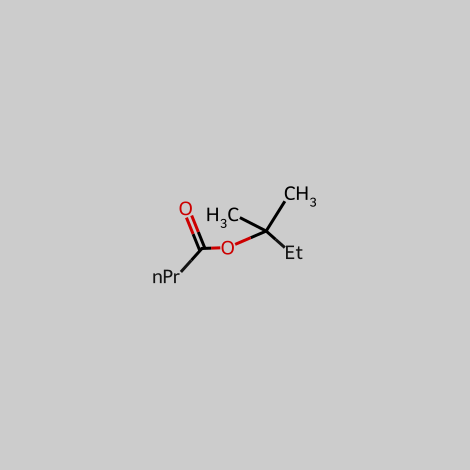 [CH2]CC(C)(C)OC(=O)CCC